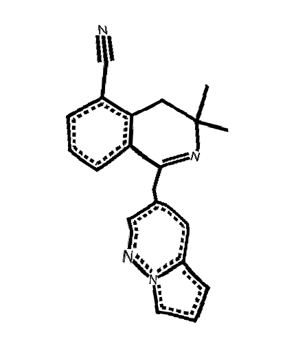 CC1(C)Cc2c(C#N)cccc2C(c2cnn3cccc3c2)=N1